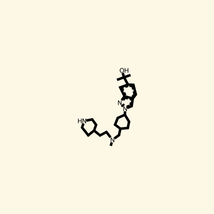 CN(CCC1CCNCC1)CC1CCC(n2cc3ccc(C(C)(C)O)cc3n2)CC1